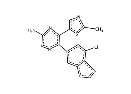 Cc1ncc(-c2nc(N)cnc2-c2cc(Cl)c3ncsc3c2)s1